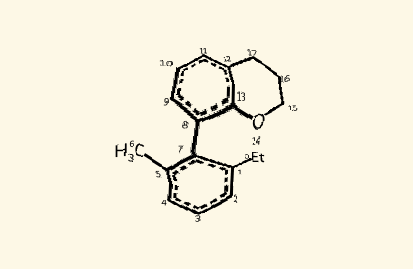 CCc1cccc(C)c1-c1cccc2c1OCCC2